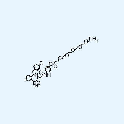 CCOCCOCCOCCOCCOCCC(=O)Oc1ccc(NC(=O)C[C@@H]2N=C(Cc3ccc(Cl)cc3)c3ccccc3-c3cnoc32)cc1